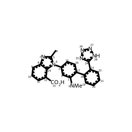 CNc1cc(-n2c(C)nc3cccc(C(=O)O)c32)ccc1-c1ccccc1-c1nnn[nH]1